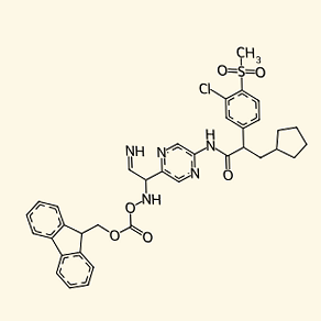 CS(=O)(=O)c1ccc(C(CC2CCCC2)C(=O)Nc2cnc(C(C=N)NOC(=O)OCC3c4ccccc4-c4ccccc43)cn2)cc1Cl